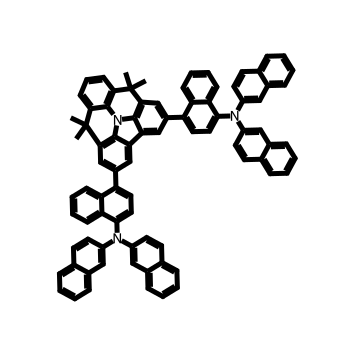 CC1(C)c2cccc3c2-n2c4c1cc(-c1ccc(N(c5ccc6ccccc6c5)c5ccc6ccccc6c5)c5ccccc15)cc4c1cc(-c4ccc(N(c5ccc6ccccc6c5)c5ccc6ccccc6c5)c5ccccc45)cc(c12)C3(C)C